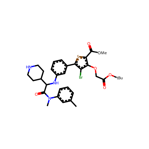 COC(=O)c1sc(-c2cccc(NC(C(=O)N(C)c3cccc(C)c3)C3CCNCC3)c2)c(Br)c1OCC(=O)OC(C)(C)C